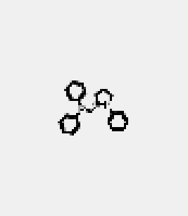 c1ccc(P(C[C@H]2CCCP2c2ccccc2)c2ccccc2)cc1